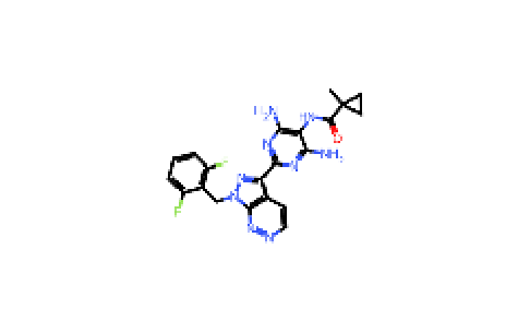 CC1(C(=O)Nc2c(N)nc(-c3nn(Cc4c(F)cccc4F)c4nnccc34)nc2N)CC1